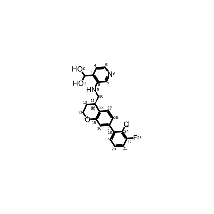 OC(O)c1ccncc1NC[C@@H]1CCOc2cc(-c3cccc(F)c3Cl)ccc21